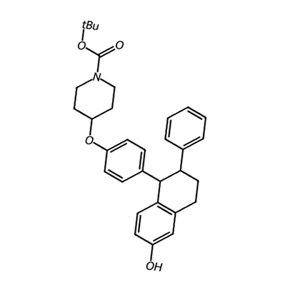 CC(C)(C)OC(=O)N1CCC(Oc2ccc(C3c4ccc(O)cc4CCC3c3ccccc3)cc2)CC1